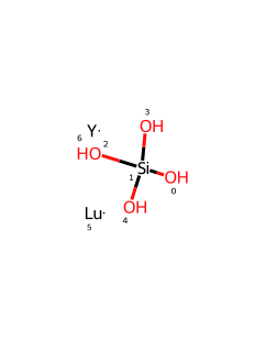 O[Si](O)(O)O.[Lu].[Y]